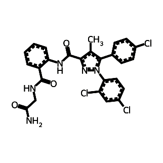 Cc1c(C(=O)Nc2ccccc2C(=O)NCC(N)=O)nn(-c2ccc(Cl)cc2Cl)c1-c1ccc(Cl)cc1